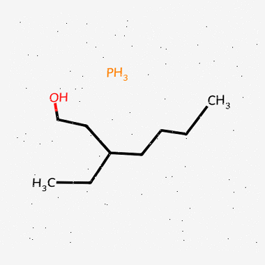 CCCCC(CC)CCO.P